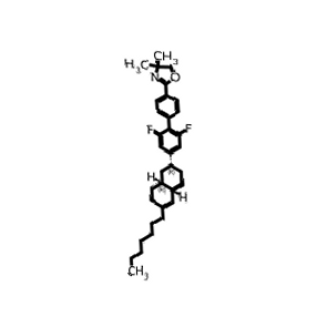 CCCCCCCC1CC[C@@H]2C[C@H](c3cc(F)c(-c4ccc(C5=NC(C)(C)CO5)cc4)c(F)c3)CC[C@@H]2C1